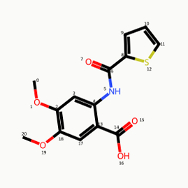 COc1cc(NC(=O)c2cccs2)c(C(=O)O)cc1OC